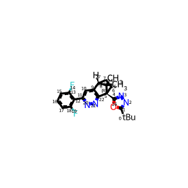 CC(C)(C)c1nnc([C@@]23CC[C@@H](c4cc(-c5c(F)cccc5F)nnc42)C3(C)C)o1